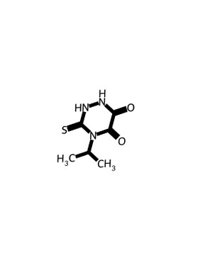 CC(C)n1c(=S)[nH][nH]c(=O)c1=O